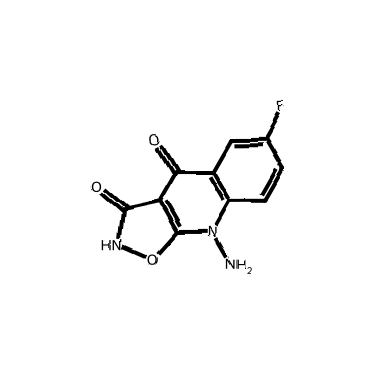 Nn1c2ccc(F)cc2c(=O)c2c(=O)[nH]oc21